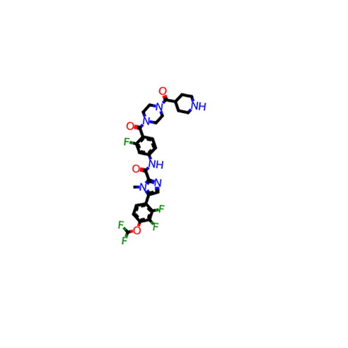 Cn1c(-c2ccc(OC(F)F)c(F)c2F)cnc1C(=O)Nc1ccc(C(=O)N2CCN(C(=O)C3CCNCC3)CC2)c(F)c1